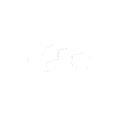 Cc1ccc(CC(CO)NC(=O)O)cc1C